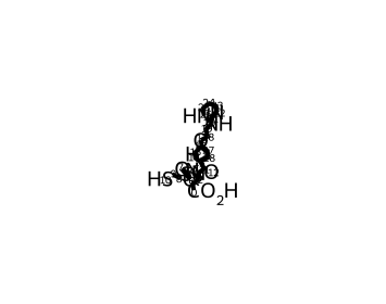 O=C(O)CCN(NS(=O)(=O)CCS)C(=O)c1ccc(OCCNC2=NCCCN2)cc1